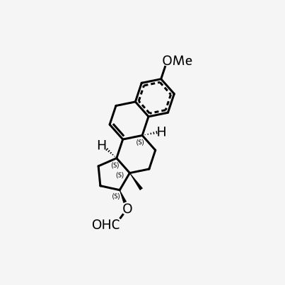 COc1ccc2c(c1)CC=C1[C@@H]2CC[C@]2(C)[C@@H](OC=O)CC[C@@H]12